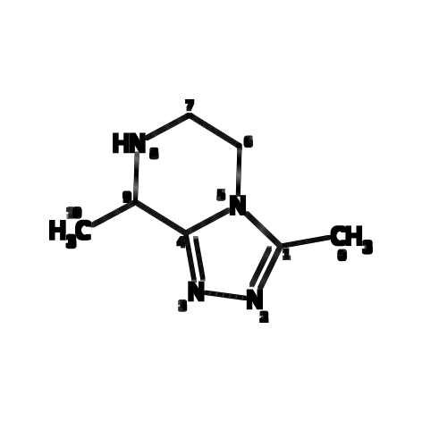 Cc1nnc2n1CCNC2C